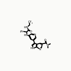 CC(C)C(Nc1cncc(-c2c[nH]c3ncc(C(=O)N(C)C)cc23)c1)C(=O)NCC(F)(F)F